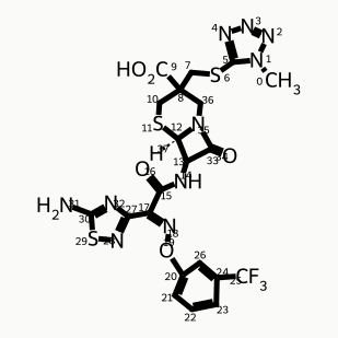 Cn1nnnc1SCC1(C(=O)O)CS[C@@H]2C(NC(=O)C(=NOc3cccc(C(F)(F)F)c3)c3nsc(N)n3)C(=O)N2C1